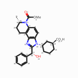 COC(=O)N1c2ccc3c(nc([C@H](O)c4ccccc4)n3[C@H]3CCC[C@H](C(=O)O)C3)c2CC[C@@H]1C